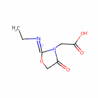 CC/N=C1\OCC(=O)N1CC(=O)O